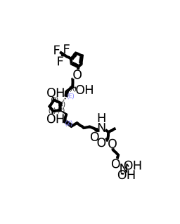 CC(NC(=O)CCC/C=C\C[C@@H]1[C@@H](/C=C/[C@@H](O)COc2cccc(C(F)(F)F)c2)[C@H](O)C[C@@H]1O)C(=O)OCCON(O)O